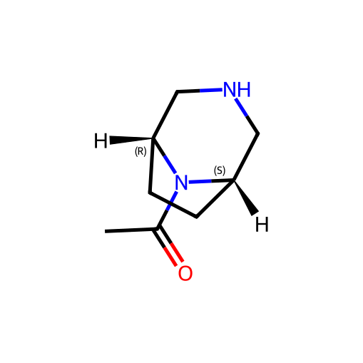 CC(=O)N1[C@@H]2CC[C@H]1CNC2